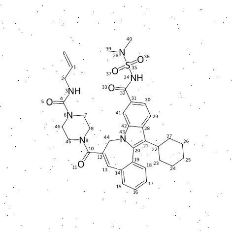 C=CCNC(=O)N1CCN(C(=O)C2=Cc3ccccc3-c3c(C4CCCCC4)c4ccc(C(=O)NS(=O)(=O)N(C)C)cc4n3C2)CC1